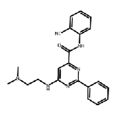 CN(C)CCNc1cc(C(=O)Nc2ccccc2C#N)nc(-c2ccccc2)n1